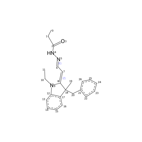 CCC(=O)N/N=C/C=C1\N(CC)c2ccccc2C1(C)Cc1ccccc1